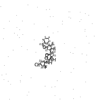 C[S+]([O-])c1ccccc1-c1ccc(N2CC[C@@H](NC(=O)Nc3ccc(Cl)cc3F)C2=O)c(F)c1F